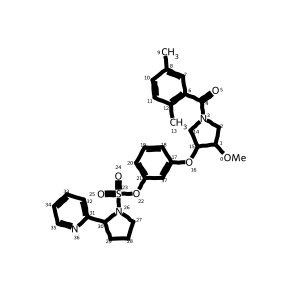 COC1CN(C(=O)c2cc(C)ccc2C)CC1Oc1cccc(OS(=O)(=O)N2CCCC2c2ccccn2)c1